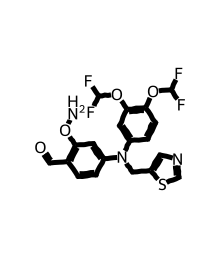 NOc1cc(N(Cc2cncs2)c2ccc(OC(F)F)c(OC(F)F)c2)ccc1C=O